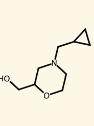 OCC1CN(CC2CC2)CCO1